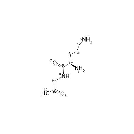 NCCC[C@@H](N)C(=O)NCC(=O)O